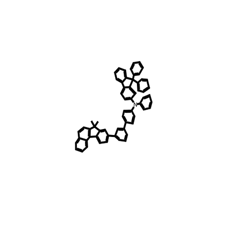 CC1(C)c2cc(-c3cccc(-c4ccc(N(c5ccccc5)c5ccc6c(c5)C(c5ccccc5)(c5ccccc5)c5ccccc5-6)cc4)c3)ccc2-c2c1ccc1ccccc21